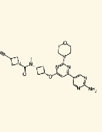 CN(C(=O)N1CC(C#N)C1)[C@H]1C[C@H](Oc2cc(-c3cnc(N)nc3)nc(N3CCOCC3)n2)C1